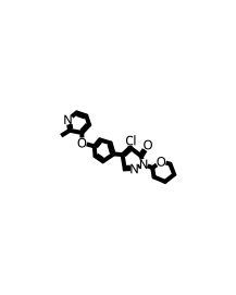 Cc1ncccc1Oc1ccc(-c2cnn(C3CCCCO3)c(=O)c2Cl)cc1